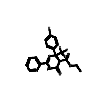 CCOC(=O)C1C(=O)NC(c2ccccn2)=NC1(c1ccc(F)cc1)C(F)(F)F